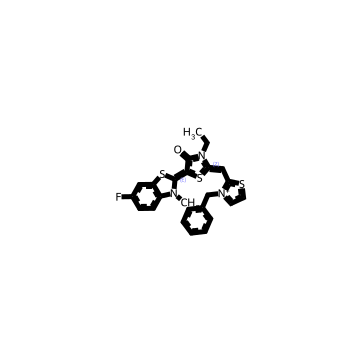 CCn1c(=O)/c(=C2\Sc3cc(F)ccc3N2C)s/c1=C\c1scc[n+]1Cc1ccccc1